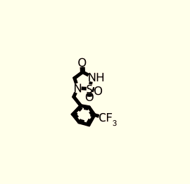 O=C1CN(Cc2cccc(C(F)(F)F)c2)S(=O)(=O)N1